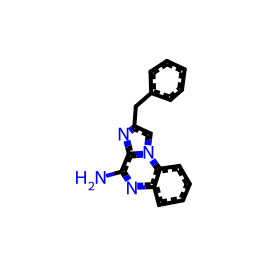 Nc1nc2ccccc2n2cc(Cc3ccccc3)nc12